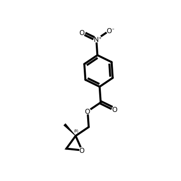 C[C@]1(COC(=O)c2ccc([N+](=O)[O-])cc2)CO1